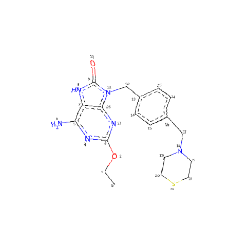 CCOc1nc(N)c2[nH]c(=O)n(Cc3ccc(CN4CCSCC4)cc3)c2n1